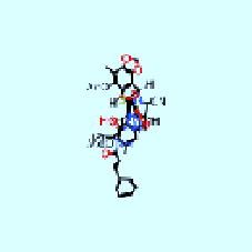 COc1c(C)cc2c(c1O)[C@H]1N[C@@H](C2)[C@H](C#N)N2C1[C@@H]1SC[C@H](NC(=O)C(NC(=O)/C=C/c3ccccc3)C(C)C)C(=O)OC[C@H]2c2c3c(c(C)c(OC(C)=O)c21)OCO3